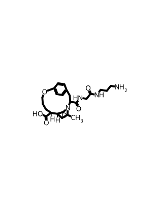 CC1C[C@H]2C(=O)N1C(C(=O)NCC(=O)NCCCN)Cc1ccc(cc1)OCCC[C@@H]2C(=O)O